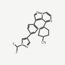 N#CC1CC=C(c2nccn3ncc(-c4ccc(-c5cnn(C(F)F)c5)cc4)c23)CC1